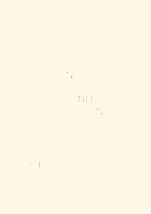 CC(C)CN(CC(C)C)c1ccc(C(C)CC(=O)O)cc1Nc1nc(C2CC2)cs1